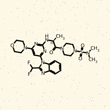 C[C@H](Nc1nc(N2CCOCC2)cc(-n2c(C(F)F)nc3ccccc32)n1)C(=O)N1CCN(S(=O)(=O)N(C)C)CC1